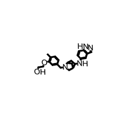 Cc1ccc(CN2CC3CC2CC3Nc2ccc3[nH]ncc3c2)cc1OCCO